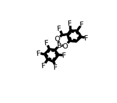 Fc1cc2c(c(F)c1F)C(F)OB(c1c(F)c(F)c(F)c(F)c1F)O2